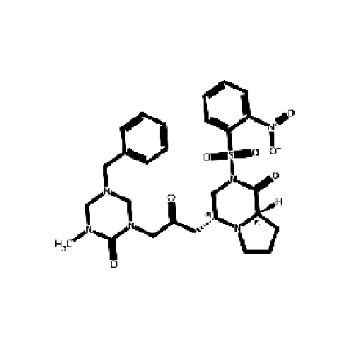 CN1CN(Cc2ccccc2)CN(CC(=O)C[C@@H]2CN(S(=O)(=O)c3ccccc3[N+](=O)[O-])C(=O)[C@@H]3CCCN23)C1=O